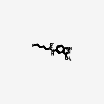 Cc1n[nH]c2ccc(N[S+]([O-])CCCCF)cc12